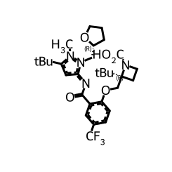 Cn1c(C(C)(C)C)cc(=NC(=O)c2cc(C(F)(F)F)ccc2OC[C@]2(C(C)(C)C)CCN2C(=O)O)n1C[C@H]1CCCO1